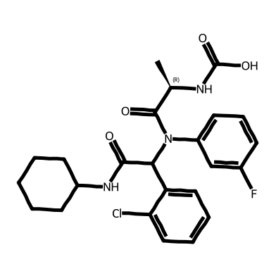 C[C@@H](NC(=O)O)C(=O)N(c1cccc(F)c1)C(C(=O)NC1CCCCC1)c1ccccc1Cl